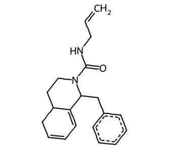 C=CCNC(=O)N1CCC2CC=CC=C2C1Cc1ccccc1